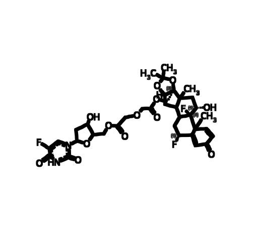 CC1(C)O[C@@H]2CC3C4C[C@H](F)C5=CC(=O)C=CC5(C)[C@@]4(F)[C@@H](O)CC3(C)[C@]2(COC(=O)COCC(=O)OCC2OC(n3cc(F)c(=O)[nH]c3=O)CC2O)O1